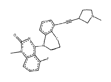 CN1CCC(C#Cc2cccc3c2CCCN3c2nc(=O)n(C)c3cccc(F)c23)C1